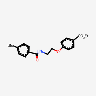 CCOC(=O)c1ccc(OCCNC(=O)c2ccc(C(C)(C)C)cc2)cc1